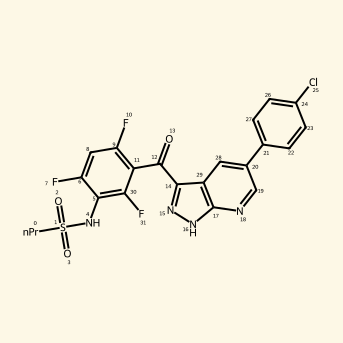 CCCS(=O)(=O)Nc1c(F)cc(F)c(C(=O)c2n[nH]c3ncc(-c4ccc(Cl)cc4)cc23)c1F